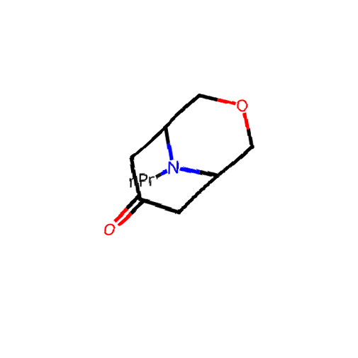 CCCN1C2COCC1CC(=O)C2